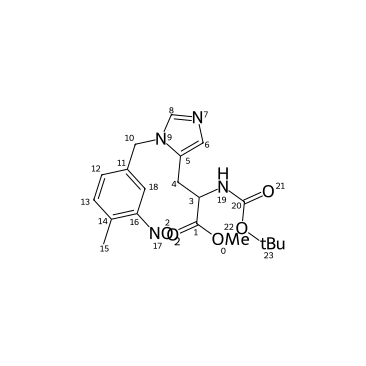 COC(=O)C(Cc1cncn1Cc1ccc(C)c([N+](=O)[O-])c1)NC(=O)OC(C)(C)C